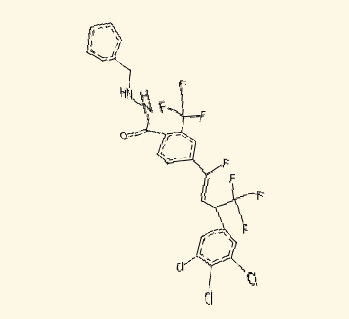 O=C(NNCc1ccccc1)c1ccc(C(F)=CC(c2cc(Cl)c(Cl)c(Cl)c2)C(F)(F)F)cc1C(F)(F)F